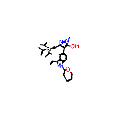 C=Cc1nn(C2CCCCO2)c2ccc(-c3c(C#C[Si](C(C)C)(C(C)C)C(C)C)nn(C)c3O)cc12